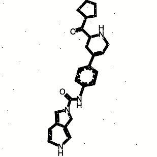 O=C(C1CCCC1)C1CC(c2ccc(NC(=O)N3C=C4C=CNC=C4C3)cc2)=CCN1